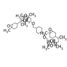 CC(C[Si](C)(C)O[Si](C)(C)CCOCC1CCC(COCC[Si](C)(C)O[Si](C)(C)CC(C)C2CCC3(C)OC3C2)CC1)C1CCC2(C)OC2C1